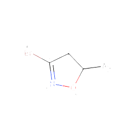 CC(=O)C1CC(Br)=NO1